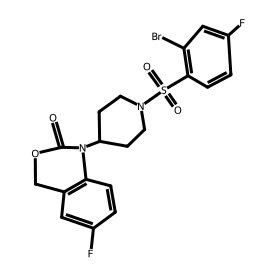 O=C1OCc2cc(F)ccc2N1C1CCN(S(=O)(=O)c2ccc(F)cc2Br)CC1